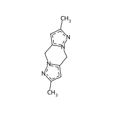 Cc1cc2n(n1)Cc1cc(C)nn1C2